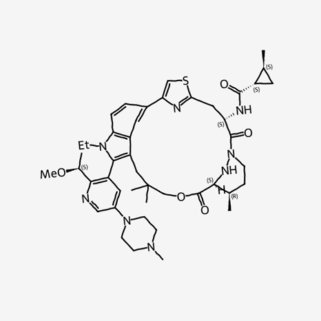 CCn1c(-c2cc(N3CCN(C)CC3)cnc2[C@H](C)OC)c2c3cc(ccc31)-c1csc(n1)C[C@H](NC(=O)[C@H]1C[C@@H]1C)C(=O)N1CC[C@@H](C)[C@H](N1)C(=O)OCC(C)(C)C2